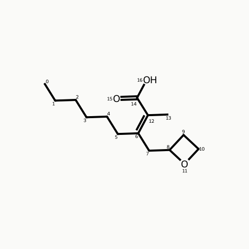 CCCCCCC(CC1CCO1)=C(C)C(=O)O